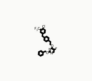 Fc1cnc(OCc2ccccc2)nc1OCCc1ccc(Cc2ccc(Cl)c(C(F)(F)F)c2)cc1